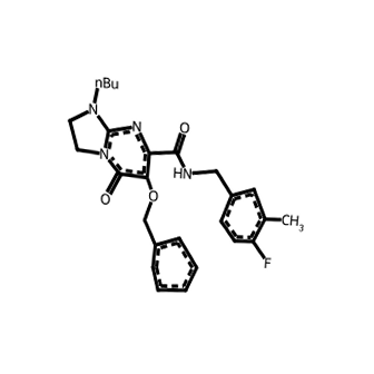 CCCCN1CCn2c1nc(C(=O)NCc1ccc(F)c(C)c1)c(OCc1ccccc1)c2=O